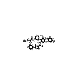 CC(C)(C)OC(=O)NC[C@@H]1CCCN(c2c(NC(=O)c3csc(-c4ccnnc4)n3)ccc(Oc3ccc(F)cc3)c2C(F)(F)F)C1